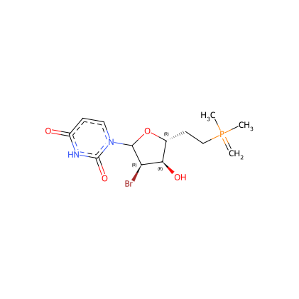 C=P(C)(C)CC[C@H]1OC(n2ccc(=O)[nH]c2=O)[C@H](Br)[C@@H]1O